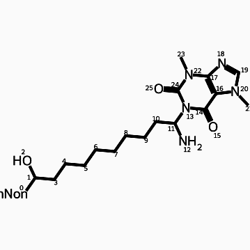 CCCCCCCCCC(O)CCCCCCCCC(N)n1c(=O)c2c(ncn2C)n(C)c1=O